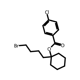 O=C(OC1(CCCCBr)CCCCC1)c1ccc(Cl)cc1